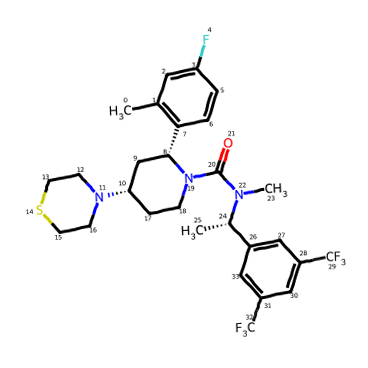 Cc1cc(F)ccc1[C@H]1C[C@@H](N2CCSCC2)CCN1C(=O)N(C)[C@@H](C)c1cc(C(F)(F)F)cc(C(F)(F)F)c1